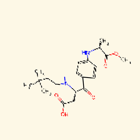 COC(=O)[C@H](C)Nc1ccc(C(=O)[C@@H](CC(=O)O)NCCC(C)(C)C)cc1